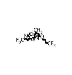 Cc1cc(OC=CCC(F)(F)F)nc(Oc2cc(C(F)(F)F)nn2C)c1